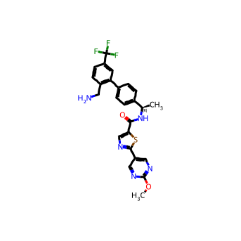 COc1ncc(-c2ncc(C(=O)N[C@H](C)c3ccc(-c4cc(C(F)(F)F)ccc4CN)cc3)s2)cn1